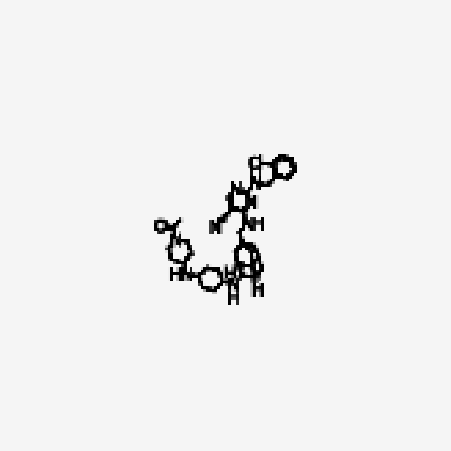 CC(=O)N1CCC(NC2CCC(NC3[C@@H]4CC5C[C@H]3CC(CNc3nc(NCc6ccccc6Cl)ncc3C#N)(C5)C4)CC2)CC1